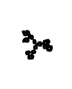 c1ccc(-c2ccc(-c3ccc(N(c4ccc(-c5ccc6c7ccc8ccccc8c7n(-c7ccccc7)c6c5)cc4)c4ccc(-c5cccc6c5oc5ccccc56)cc4)cc3)cc2-c2ccccc2)cc1